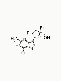 CC[C@@]1(CO)C[C@@H](F)[C@H](n2cnc3c(=O)[nH]c(N)nc32)O1